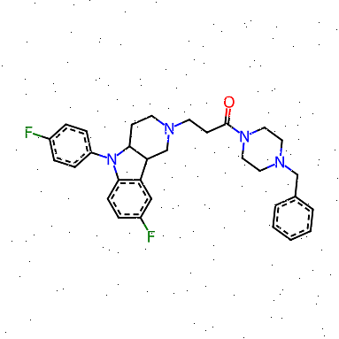 O=C(CCN1CCC2C(C1)c1cc(F)ccc1N2c1ccc(F)cc1)N1CCN(Cc2ccccc2)CC1